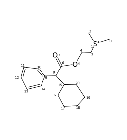 C[S+](C)CCOC(=O)C(c1ccccc1)C1CCCCC1